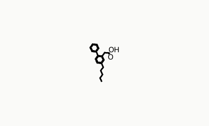 CCCCCc1ccc(-c2ccccc2)c(CC(=O)O)c1